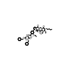 CCCCC[C@@H](C(=O)NCNC(=O)c1ccc(-c2ccc(C(=O)N[C@@H](CC(=O)OCc3ccccc3)C(=O)OCc3ccccc3)c(OCC)c2)o1)[C@@H](CC)N(C=O)OC(=O)OC(C)(C)C